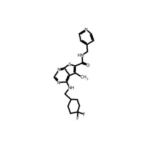 Cc1c(C(=O)NCc2ccncc2)sc2ncnc(NCC3CCC(F)(F)CC3)c12